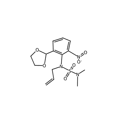 C=CCN(c1c(C2OCCO2)cccc1[N+](=O)[O-])S(=O)(=O)N(C)C